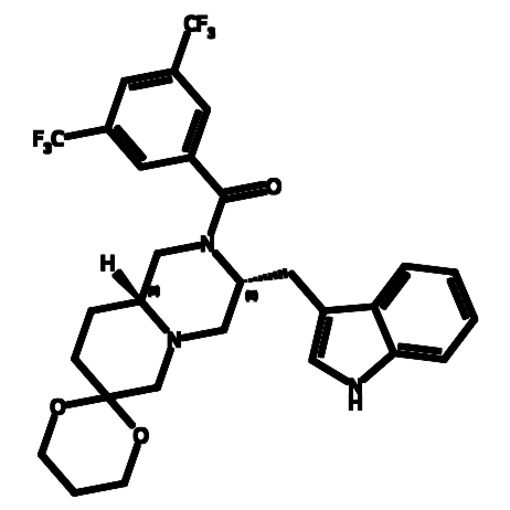 O=C(c1cc(C(F)(F)F)cc(C(F)(F)F)c1)N1C[C@H]2CCC3(CN2C[C@H]1Cc1c[nH]c2ccccc12)OCCCO3